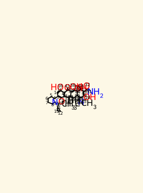 COc1c(C2CCCCN2CC2CC2)cc(O)c2c1C[C@H]1C[C@H]3[C@H](N(C)C)C(O)=C(C(N)=O)C(=O)[C@@]3(O)C(O)=C1C2=O